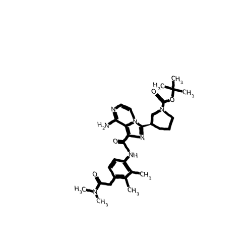 Cc1c(CC(=O)N(C)C)ccc(NC(=O)c2nc([C@@H]3CCCN(C(=O)OC(C)(C)C)C3)n3ccnc(N)c23)c1C